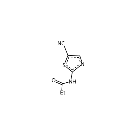 CCC(=O)Nc1ncc(C#N)s1